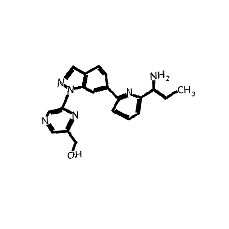 CCC(N)c1cccc(-c2ccc3cnn(-c4cncc(CO)n4)c3c2)n1